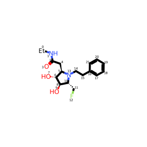 CCNC(=O)C[C@@H]1[C@@H](O)[C@H](O)[C@@H](CF)N1CCc1ccccc1